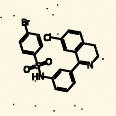 O=S(=O)(Nc1cccc(C2=NCCc3ccc(Cl)cc32)c1)c1ccc(Br)cc1